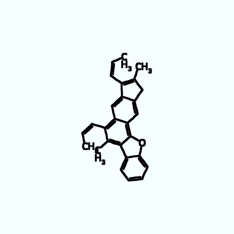 C/C=C\C1=C(C)Cc2cc3c(cc21)c(/C=C\C)c(C)c1c2ccccc2oc31